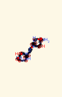 COC1/C=C\C=C(/C)C(=O)NC2=CC(=O)C(NCCCN3CCN(CCCNC4=C5CC(C)CC(OC)C(O)C(C)/C=C(\C)C(OC(N)=O)C(OC)/C=C\C=C(/C)C(=O)NC(=CC4=O)C5=O)CC3)=C(CC(C)CC(OC)C(O)C(C)/C=C(\C)C1OC(N)=O)C2=O